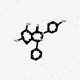 O=c1c2c(O)cc(O)cc2c(-c2ccccc2)nn1-c1ccc(O)cc1